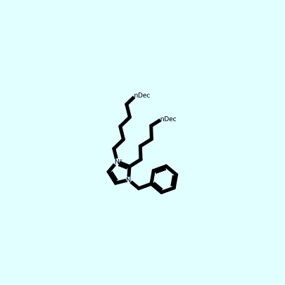 CCCCCCCCCCCCCCC[n+]1ccn(Cc2ccccc2)c1CCCCCCCCCCCCCC